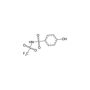 O=S(=O)(NS(=O)(=O)C(F)(F)F)c1ccc(O)cc1